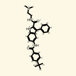 CN(C)CCNC(=O)c1[nH]c2ccc(NC(=O)c3ccc(C(C)(C)C)cc3)cc2c1-c1ccccc1